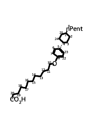 CCCCC[C@H]1CC[C@H](c2ccc(OCCCCCCCCCCCC(=O)O)cc2)CC1